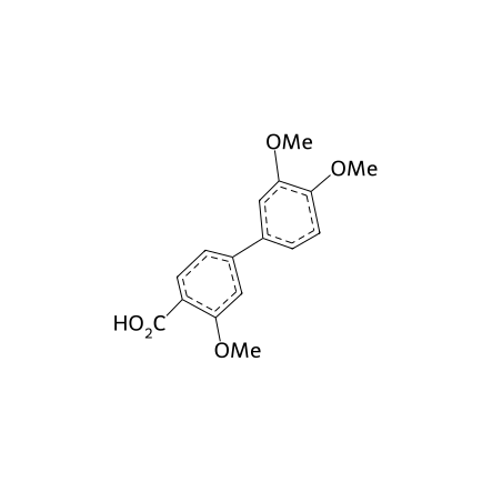 COc1ccc(-c2ccc(C(=O)O)c(OC)c2)cc1OC